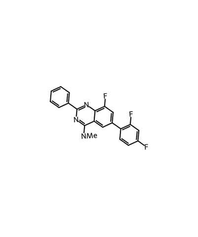 CNc1nc(-c2ccccc2)nc2c(F)cc(-c3ccc(F)cc3F)cc12